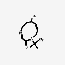 CC(C)C1C=CCN(C(C)(C)C(C)C)C(=O)/C=N\CC1